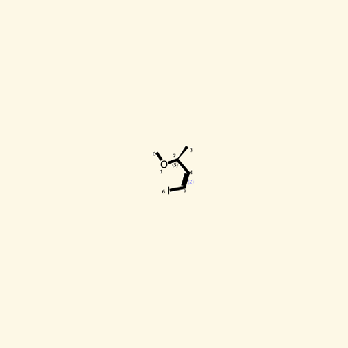 CO[C@@H](C)/C=C\I